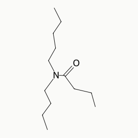 CCCCCN(CCCC)C(=O)CCC